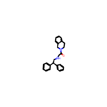 O=C(CNCC(c1ccccc1)c1ccccc1)N1CCc2ccccc2C1